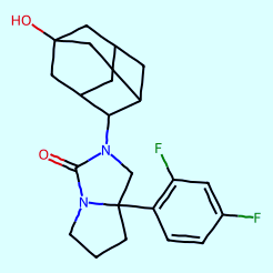 O=C1N(C2C3CC4CC2CC(O)(C4)C3)CC2(c3ccc(F)cc3F)CCCN12